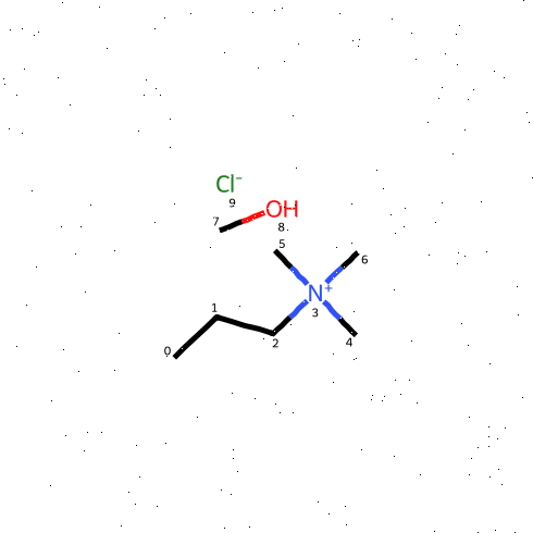 CCC[N+](C)(C)C.CO.[Cl-]